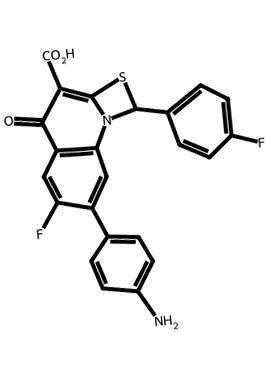 Nc1ccc(-c2cc3c(cc2F)c(=O)c(C(=O)O)c2n3C(c3ccc(F)cc3)S2)cc1